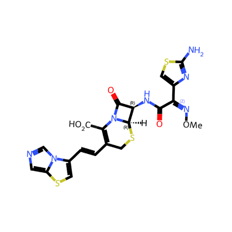 CO/N=C(\C(=O)N[C@@H]1C(=O)N2C(C(=O)O)=C(C=Cc3csc4cncn34)CS[C@H]12)c1csc(N)n1